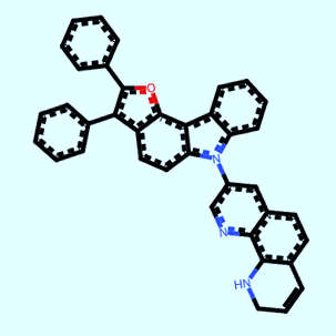 C1=Cc2ccc3cc(-n4c5ccccc5c5c6oc(-c7ccccc7)c(-c7ccccc7)c6ccc54)cnc3c2NC1